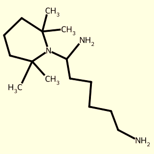 CC1(C)CCCC(C)(C)N1C(N)CCCCCN